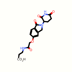 O=C(O)CCNC(=O)COc1ccc2c(c1)CN(C1CCC(=O)NC1=O)C2=O